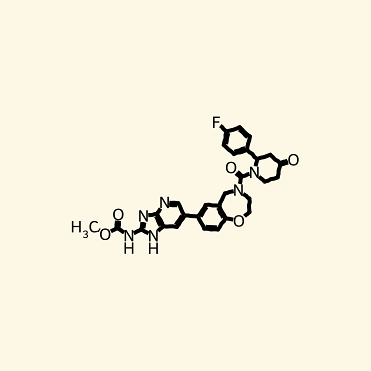 COC(=O)Nc1nc2ncc(-c3ccc4c(c3)CN(C(=O)N3CCC(=O)CC3c3ccc(F)cc3)CCO4)cc2[nH]1